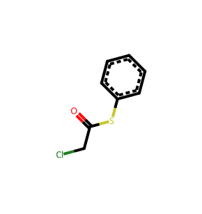 O=C(CCl)Sc1ccccc1